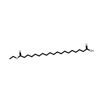 CCOC(=O)CCCCCCCCCCCCCCCCCC(=O)O